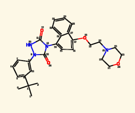 CC(C)(C)c1cccc(-n2[nH]c(=O)n(-c3ccc(OCCN4CCOCC4)c4ccccc34)c2=O)c1